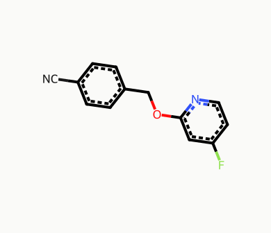 N#Cc1ccc(COc2cc(F)ccn2)cc1